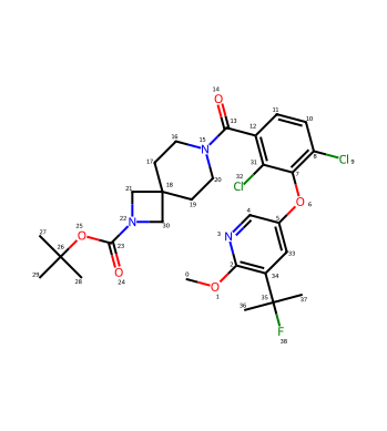 COc1ncc(Oc2c(Cl)ccc(C(=O)N3CCC4(CC3)CN(C(=O)OC(C)(C)C)C4)c2Cl)cc1C(C)(C)F